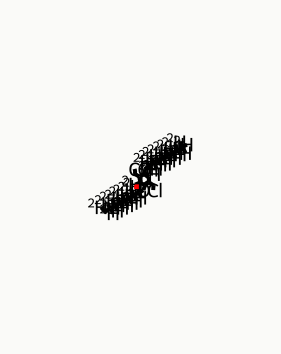 [2H]CC([2H])([2H])C([2H])([2H])C([2H])([2H])C([2H])([2H])C([2H])([2H])C([2H])([2H])C([2H])([2H])Oc1c([2H])c(CCl)c(OC([2H])([2H])C([2H])([2H])C([2H])([2H])C([2H])([2H])C([2H])([2H])C([2H])([2H])C([2H])([2H])C([2H])([2H])[2H])c([2H])c1CCl